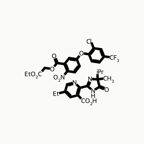 CCOC(=O)COC(=O)c1cc(Oc2ccc(C(F)(F)F)cc2Cl)ccc1[N+](=O)[O-].CCc1cnc(C2=NC(C)(C(C)C)C(=O)N2)c(C(=O)O)c1